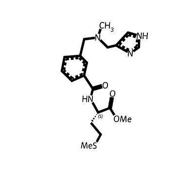 COC(=O)[C@H](CCSC)NC(=O)c1cccc(CN(C)Cc2c[nH]cn2)c1